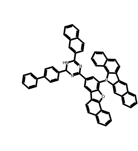 c1ccc(-c2ccc(C3N=C(c4cc(-n5c6cc7ccccc7cc6c6ccc7ccccc7c65)c5oc6c7ccccc7ccc6c5c4)N=C(c4ccc5ccccc5c4)N3)cc2)cc1